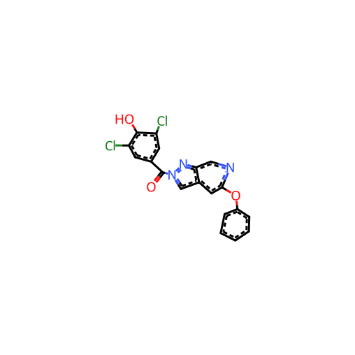 O=C(c1cc(Cl)c(O)c(Cl)c1)n1cc2cc(Oc3ccccc3)ncc2n1